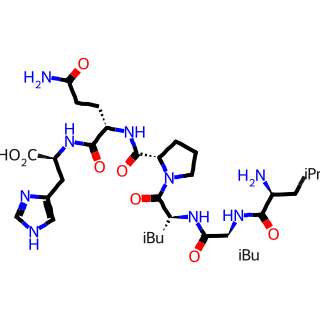 CC[C@H](C)[C@H](NC(=O)[C@@H](N)CC(C)C)C(=O)N[C@H](C(=O)N1CCC[C@H]1C(=O)N[C@@H](CCC(N)=O)C(=O)N[C@@H](Cc1c[nH]cn1)C(=O)O)[C@@H](C)CC